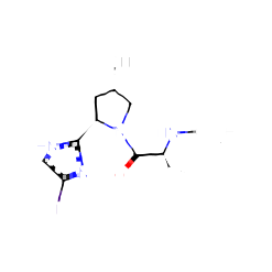 CC(C)[C@H](NC(=O)O)C(=O)N1C[C@@H](C)C[C@@H]1c1nc(I)c[nH]1